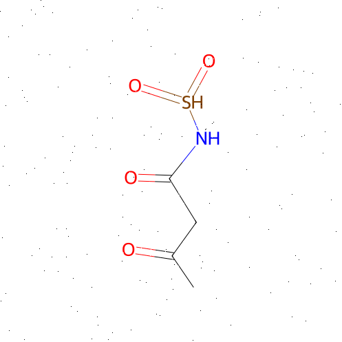 CC(=O)CC(=O)N[SH](=O)=O